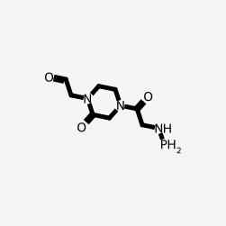 O=CCN1CCN(C(=O)CNP)CC1=O